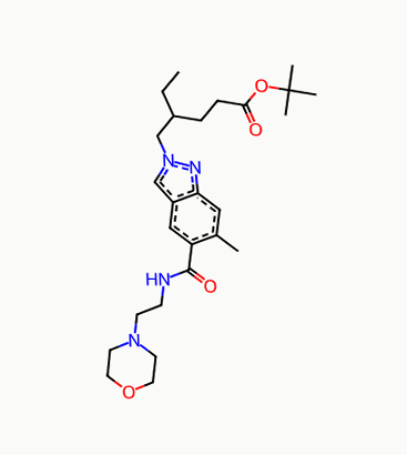 CCC(CCC(=O)OC(C)(C)C)Cn1cc2cc(C(=O)NCCN3CCOCC3)c(C)cc2n1